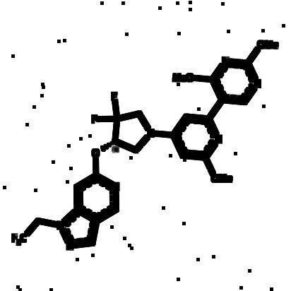 COc1cc(N2C[C@H](Oc3cc4c(cn3)cnn4CC(F)(F)F)C(F)(F)C2)cc(-c2cnc(OC)nc2OC)n1